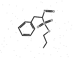 CCCOS(=O)(=O)C(Cc1ccccc1)P=O